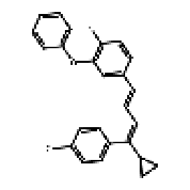 Fc1ccc(C=CC=C(c2ccc(Cl)cc2)C2CC2)cc1Oc1ccccc1